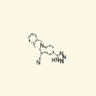 Cc1ccccc1Cn1cc(C#N)c2cc(-c3nnn[nH]3)ccc21